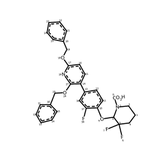 O=C(O)N1CCCC(F)(F)C1Oc1ccc(-c2ccc(OCc3ccccc3)nc2OCc2ccccc2)cc1F